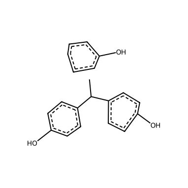 CC(c1ccc(O)cc1)c1ccc(O)cc1.Oc1ccccc1